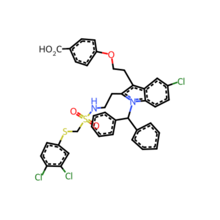 O=C(O)c1ccc(OCCc2c(CCNS(=O)(=O)CSc3ccc(Cl)c(Cl)c3)n(C(c3ccccc3)c3ccccc3)c3ccc(Cl)cc23)cc1